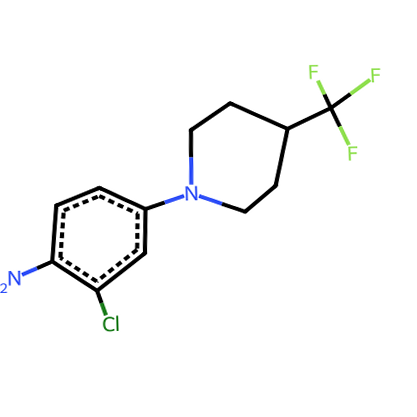 Nc1ccc(N2CCC(C(F)(F)F)CC2)cc1Cl